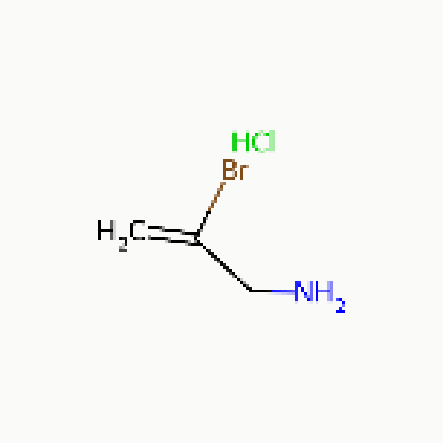 C=C(Br)CN.Cl